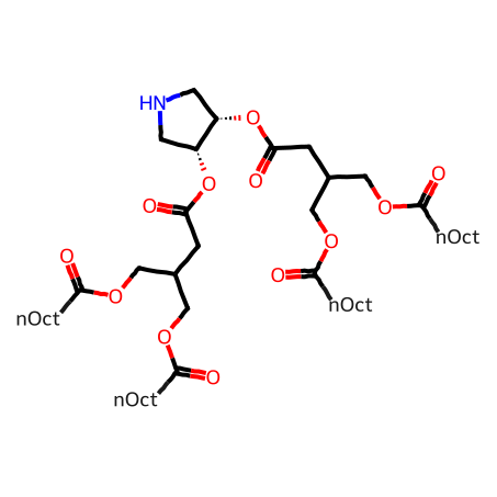 CCCCCCCCC(=O)OCC(COC(=O)CCCCCCCC)CC(=O)O[C@H]1CNC[C@H]1OC(=O)CC(COC(=O)CCCCCCCC)COC(=O)CCCCCCCC